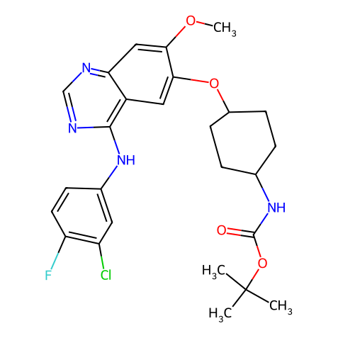 COc1cc2ncnc(Nc3ccc(F)c(Cl)c3)c2cc1OC1CCC(NC(=O)OC(C)(C)C)CC1